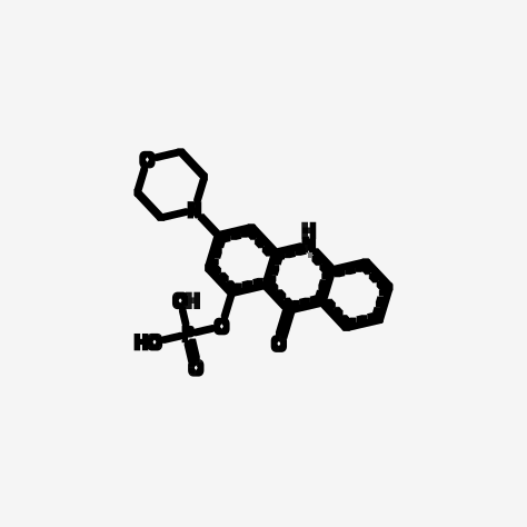 O=c1c2ccccc2[nH]c2cc(N3CCOCC3)cc(OP(=O)(O)O)c12